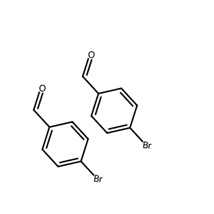 O=Cc1ccc(Br)cc1.O=Cc1ccc(Br)cc1